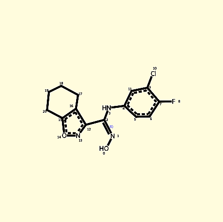 O/N=C(/Nc1ccc(F)c(Cl)c1)c1noc2c1CCCC2